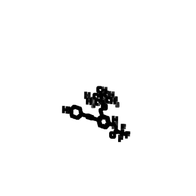 CC(C)(C)[Si](C)(C)OCc1cc(NC(=O)C(F)(F)F)ccc1C#CC1CCNCC1